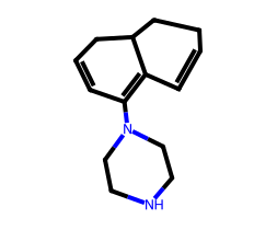 C1=CC2=C(N3CCNCC3)C=CCC2CC1